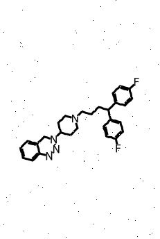 Fc1ccc(C(CCCN2CCC(N3Cc4ccccc4N=N3)CC2)c2ccc(F)cc2)cc1